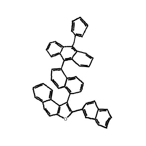 c1ccc(-c2c3ccccc3c(-c3cccc4c(-c5c(-c6ccc7ccccc7c6)oc6ccc7ccccc7c56)cccc34)c3ccccc23)cc1